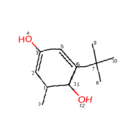 CC1C=C(O)C=C(C(C)(C)C)C1O